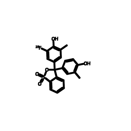 Cc1cc(C2(c3cc(C)c(O)c([18F])c3)OS(=O)(=O)c3ccccc32)ccc1O